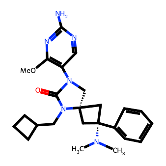 COc1nc(N)ncc1N1C[C@]2(C[C@@](c3ccccc3)(N(C)C)C2)N(CC2CCC2)C1=O